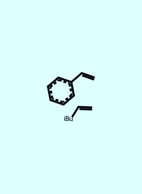 C=CC(C)CC.C=Cc1ccccc1